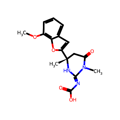 COc1cccc2cc([C@]3(C)CC(=O)N(C)C(=NC(=O)O)N3)oc12